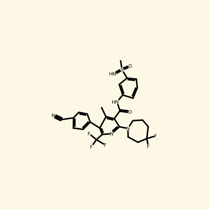 Cc1c(C(=O)Nc2cccc(S(C)(=N)=O)c2)c(N2CCCC(F)(F)CC2)nc(C(F)(F)F)c1-c1ccc(C#N)cc1